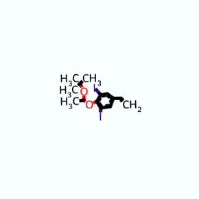 C=Cc1cc(I)c(OC(C)OC(C)(C)C)c(I)c1